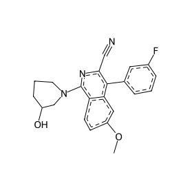 COc1ccc2c(N3CCCC(O)C3)nc(C#N)c(-c3cccc(F)c3)c2c1